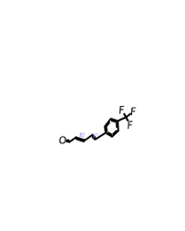 O=C/C=C/C=C/c1ccc(C(F)(F)F)cc1